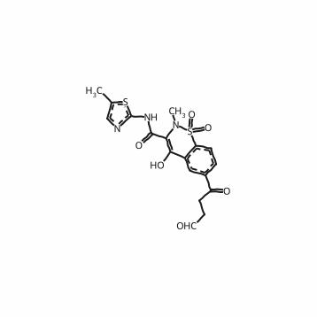 Cc1cnc(NC(=O)C2=C(O)c3cc(C(=O)CCC=O)ccc3S(=O)(=O)N2C)s1